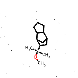 CO[Si](C)(C)C1CC2CC1C1CCCC21